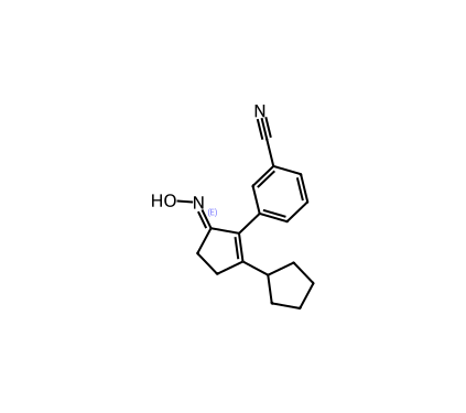 N#Cc1cccc(C2=C(C3CCCC3)CC/C2=N\O)c1